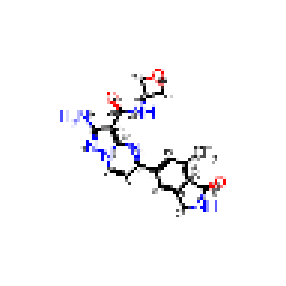 Nc1nn2ccc(-c3cc4c(c(C(F)(F)F)c3)C(=O)NC4)nc2c1C(=O)NC1COC1